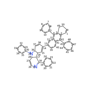 C1=Cc2c(c(-c3ccccc3)c3cc(C4=CC5C6C(c7ccccc7)=NC=CC6N(c6ccccc6)C5C=C4)ccc3c2-c2ccccc2)CC1